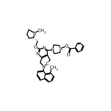 Cc1cccc2cccc(N3CCc4c(nc(OC[C@@H]5CCCN5C)nc4N4CCN(OC(=O)c5ccccc5)CC4)C3)c12